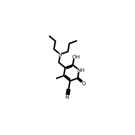 CCCN(CCC)Cc1c(O)[nH]c(=O)c(C#N)c1C